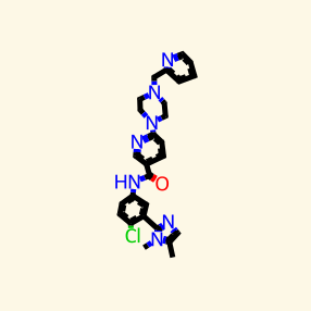 Cc1cnc(-c2cc(NC(=O)c3ccc(N4CCN(Cc5ccccn5)CC4)nc3)ccc2Cl)n1C